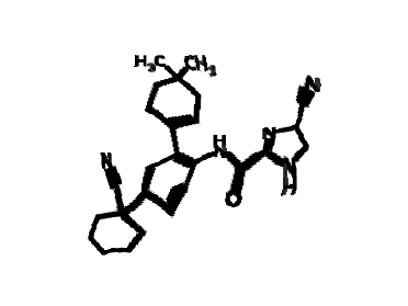 CC1(C)CC=C(c2cc(C3(C#N)CCCCC3)ccc2NC(=O)C2=NC(C#N)CN2)CC1